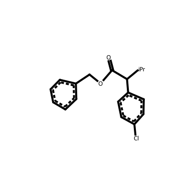 CC(C)C(C(=O)OCc1ccccc1)c1ccc(Cl)cc1